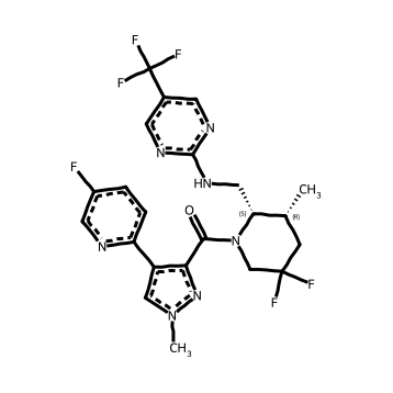 C[C@@H]1CC(F)(F)CN(C(=O)c2nn(C)cc2-c2ccc(F)cn2)[C@@H]1CNc1ncc(C(F)(F)F)cn1